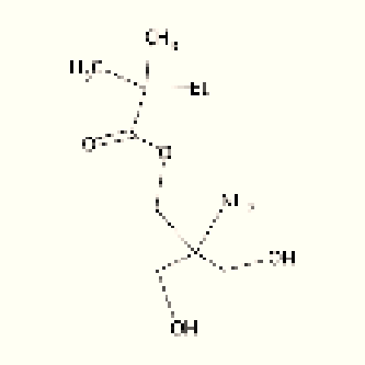 CCC(C)(C)C(=O)OCC(N)(CO)CO